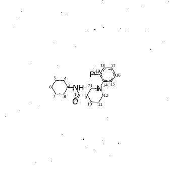 O=C(NC1CCCCC1)[C@H]1CCCN(c2ccccc2F)C1